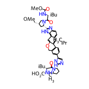 CC[C@H](C)[C@H](NC(=O)OC)C(=O)N1C[C@@H](COC)C[C@H]1c1nc2ccc3cc4c(cc3c2[nH]1)OCc1cc(-c2cnc([C@@H]3CC[C@H](C)N3C(=O)[C@@H](NC(=O)O)[C@@H](C)CC)[nH]2)ccc1-4.C[C](C)C